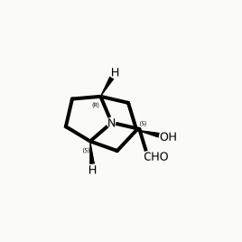 O=CCN1[C@@H]2CC[C@H]1C[C@H](O)C2